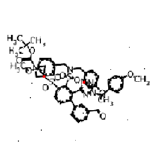 COc1ccc(CN(Cc2ccc(OC)cc2)S(=O)(=O)c2c(S(=O)(=O)C3CN(C(=O)OC(C)(C)C)C3)ccc(-c3cccc(C=O)c3)c2-c2nnn(Cc3ccc(OC)cc3)n2)cc1